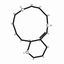 C1=C2/CCCOC2CCCCCCCCC/1